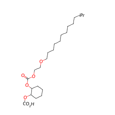 CC(C)CCCCCCCCCCOCCOC(=O)OC1CCCCC1OC(=O)O